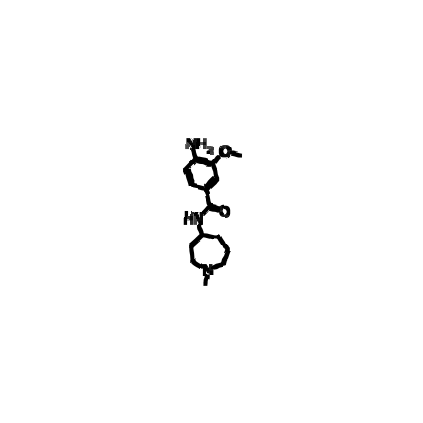 COc1cc(C(=O)NC2CCCN(C)CC2)ccc1N